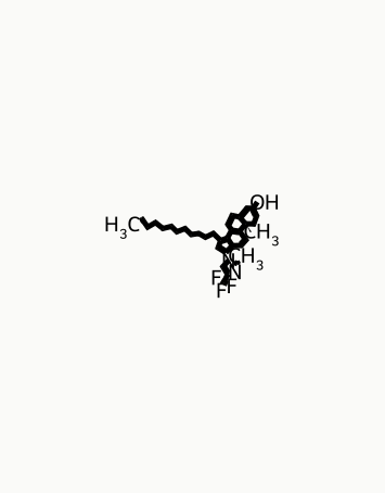 CCCCCCCCCCCCC1=C2C3=C(C=C[C@]2(C)C(n2cnc(C(F)(F)F)c2)=C1)[C@]1(C)CC=C(O)C=C1C=C3